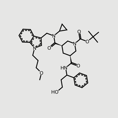 COCCCn1cc(CN(C(=O)[C@@H]2C[C@H](C(=O)NC(CCO)c3ccccc3)CN(C(=O)OC(C)(C)C)C2)C2CC2)c2ccccc21